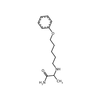 CC(NCCC[CH]COc1ccccc1)C(N)=O